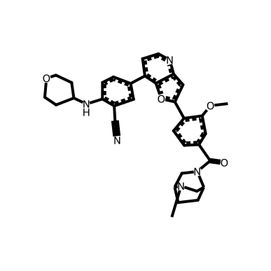 COc1cc(C(=O)N2CC3CCC2CN3C)ccc1-c1cc2nccc(-c3ccc(NC4CCOCC4)c(C#N)c3)c2o1